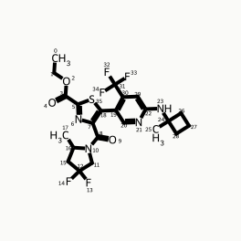 CCOC(=O)c1nc(C(=O)N2CC(F)(F)CC2C)c(-c2cnc(NC3(C)CCC3)cc2C(F)(F)F)s1